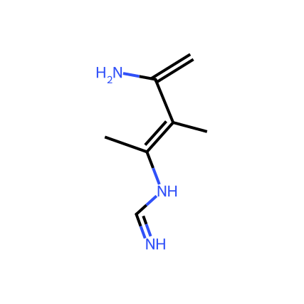 C=C(N)/C(C)=C(\C)NC=N